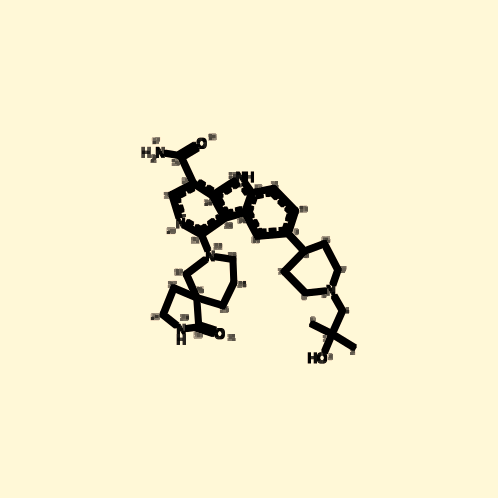 CC(C)(O)CN1CCC(c2ccc3[nH]c4c(C(N)=O)cnc(N5CCCC6(CCNC6=O)C5)c4c3c2)CC1